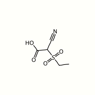 CCS(=O)(=O)C(C#N)C(=O)O